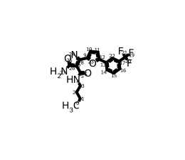 CCCCNC(=O)c1c(-c2ccc(-c3cccc(C(F)(F)F)c3)o2)noc1N